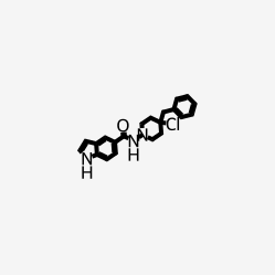 O=C(NN1CCC(Cl)(Cc2ccccc2)CC1)c1ccc2[nH]ccc2c1